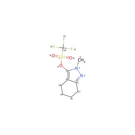 Cn1nc2c(c1OS(=O)(=O)C(F)(F)F)CCCC2